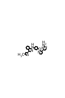 Cc1csc(-c2cnc(Nc3ccc(Oc4ncccc4-c4ccnc(N)n4)cc3)c3ccccc23)c1